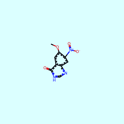 COc1cc2c(=O)[nH]cnc2cc1[N+](=O)[O-]